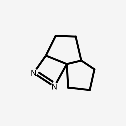 C1CC2CCC3N=NC23C1